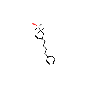 C=C[C@H](CCCCc1ccccc1)CC(C)(C)[Si](C)(C)O